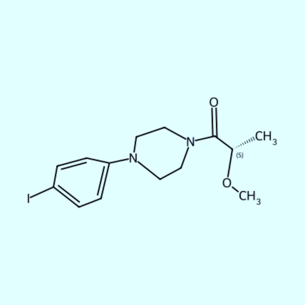 CO[C@@H](C)C(=O)N1CCN(c2ccc(I)cc2)CC1